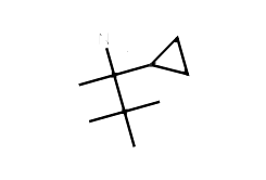 CC(C)(C)C(C)(N)C1CC1